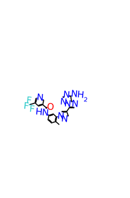 Cc1ccc(NC(=O)c2cncc(C(F)(F)F)c2)cc1-n1cc(-c2cnc3c(N)ncnn23)cn1